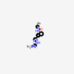 CC(C)C1CCN(C(=O)NC2CCCCc3cc(-c4ccnc(Nc5cnn(C)c5)n4)ccc32)C1